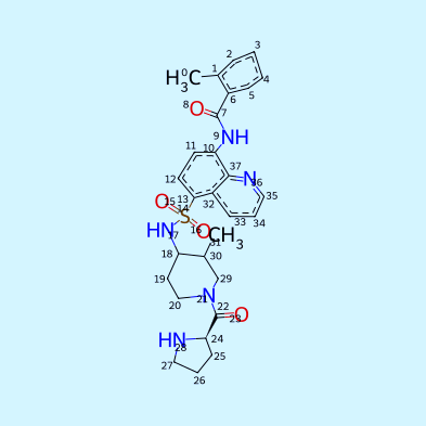 Cc1ccccc1C(=O)Nc1ccc(S(=O)(=O)NC2CCN(C(=O)[C@H]3CCCN3)CC2C)c2cccnc12